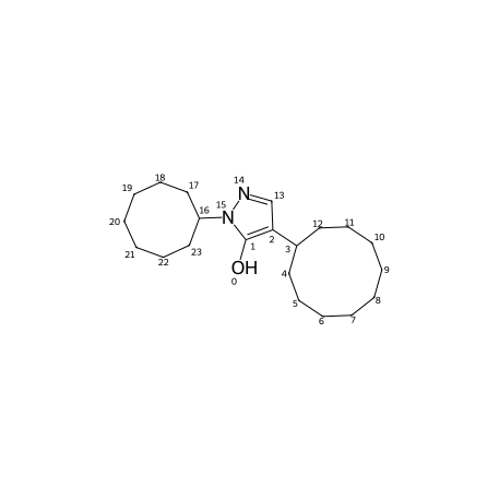 Oc1c(C2CCCCCCCCC2)cnn1C1CCCCCCC1